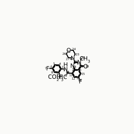 C[C@@H](Nc1ccc(F)cc1C(=O)O)c1cc(F)cc2c(=O)n(C)c(N3CCOCC3)nc12